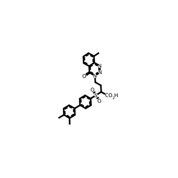 Cc1ccc(-c2ccc(S(=O)(=O)C(CCn3nnc4c(C)cccc4c3=O)C(=O)O)cc2)cc1C